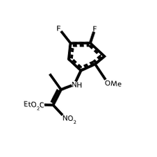 CCOC(=O)/C(=C(\C)Nc1cc(F)c(F)cc1OC)[N+](=O)[O-]